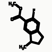 COC(=O)c1cc2c(cc1F)CCC2C